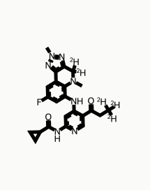 [2H]C([2H])([2H])CC(=O)c1cnc(NC(=O)C2CC2)cc1Nc1cc(F)cc2c1N(C)C([2H])([2H])c1nn(C)nc1-2